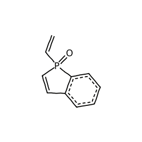 C=CP1(=O)C=Cc2ccccc21